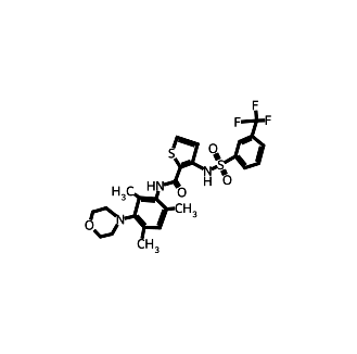 Cc1cc(C)c(N2CCOCC2)c(C)c1NC(=O)c1sccc1NS(=O)(=O)c1cccc(C(F)(F)F)c1